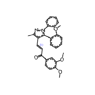 COc1ccc(C(=O)/C=C/c2c(C)nn(-c3ccccc3)c2-c2ccccc2OC)cc1OC